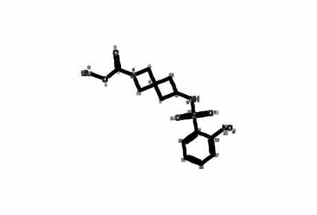 CC(C)(C)OC(=O)N1CC2(CC(NS(=O)(=O)c3ccccc3[N+](=O)[O-])C2)C1